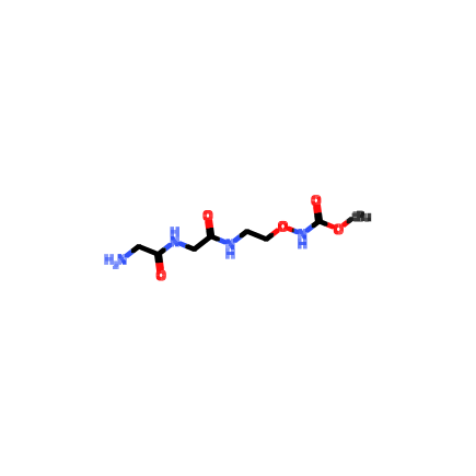 CC(C)(C)OC(=O)NOCCNC(=O)CNC(=O)CN